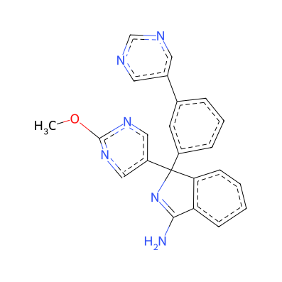 COc1ncc(C2(c3cccc(-c4cncnc4)c3)N=C(N)c3ccccc32)cn1